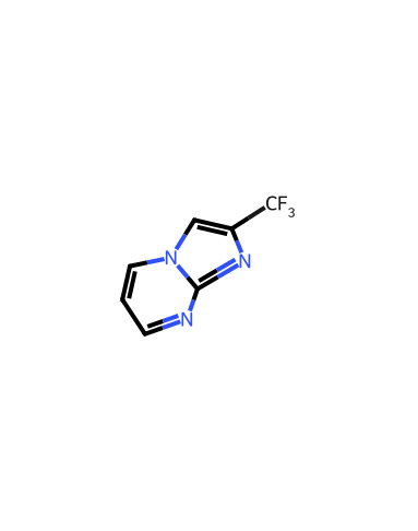 FC(F)(F)c1cn2cccnc2n1